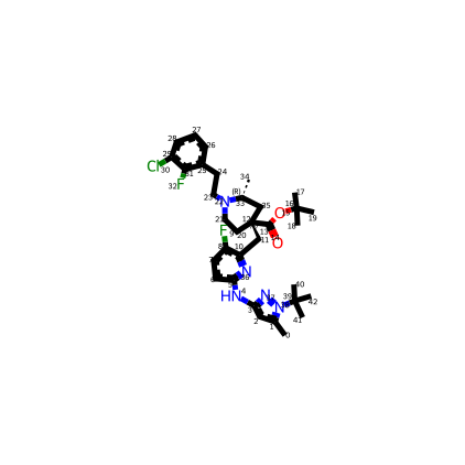 Cc1cc(Nc2ccc(F)c(C[C@@]3(C(=O)OC(C)(C)C)CCN(CCc4cccc(Cl)c4F)[C@H](C)C3)n2)nn1C(C)(C)C